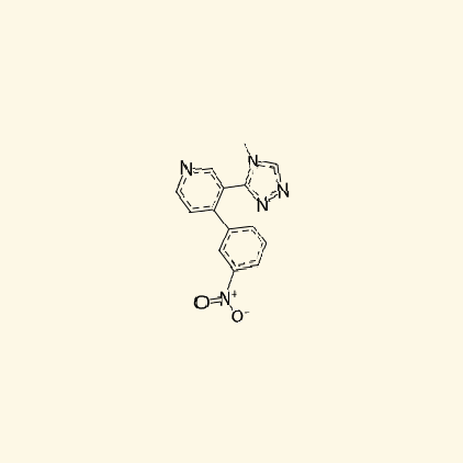 Cn1cnnc1-c1cnccc1-c1cccc([N+](=O)[O-])c1